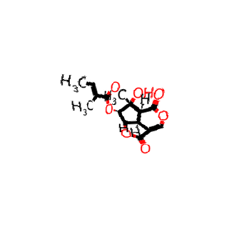 C/C=C(\C)C(=O)O[C@H]1[C@H]2OC(=O)C3=COC(=O)[C@@H]([C@@H]32)[C@@]1(C)O